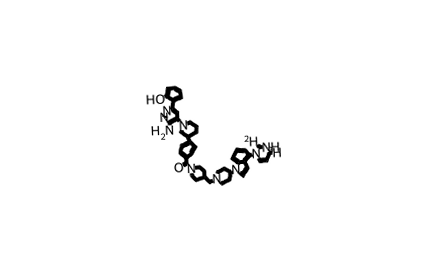 [2H]C1C=CN(c2cccc3c2ccn3C2CCN(CC3CCN(C(=O)c4ccc(C5CCCN(c6cc(-c7ccccc7O)nnc6N)C5)cc4)CC3)CC2)C([2H])N1